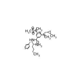 CCCC[C@H](N)[C@H](Cc1ccsc1)NC(=O)c1cc(N(C)CC2CC2C)nc(N(C)S(C)(=O)=O)c1